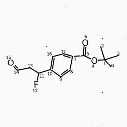 CC(C)(C)OC(=O)c1ccc(C(F)CC=O)cc1